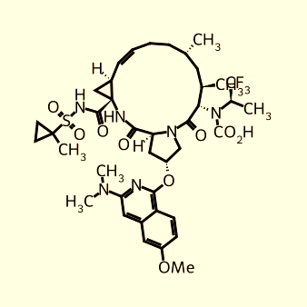 COc1ccc2c(O[C@@H]3C[C@H]4C(=O)N[C@]5(C(=O)NS(=O)(=O)C6(C)CC6)C[C@H]5C=CCC[C@H](C)C[C@@H](C)[C@H](N(C(=O)O)[C@H](C)C(F)(F)F)C(=O)N4C3)nc(N(C)C)cc2c1